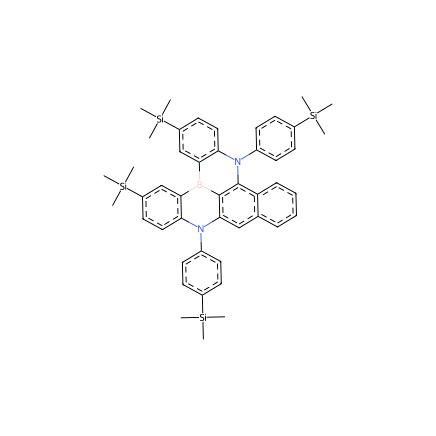 C[Si](C)(C)c1ccc(N2c3ccc([Si](C)(C)C)cc3B3c4cc([Si](C)(C)C)ccc4N(c4ccc([Si](C)(C)C)cc4)c4c3c2cc2ccccc42)cc1